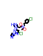 CC(=O)N(CCc1ccc(Cl)cc1)C(=O)CC1CNCCN1c1cc(Cl)nc(-n2ccnc2)n1